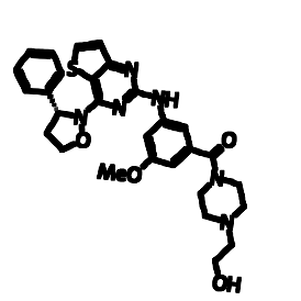 COc1cc(Nc2nc(N3OCC[C@@H]3c3ccccc3)c3sccc3n2)cc(C(=O)N2CCN(CCO)CC2)c1